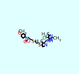 COc1ccc(N2CC(CSCCCSc3ccnc(CNc4nc(C)nc(C)c4Cl)c3C)OC2=O)cc1